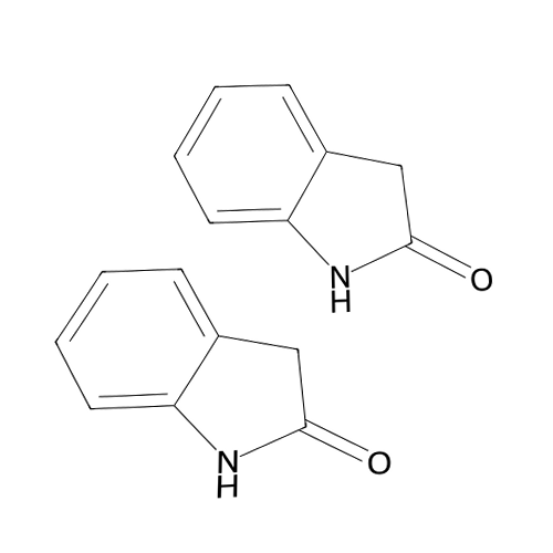 O=C1Cc2ccccc2N1.O=C1Cc2ccccc2N1